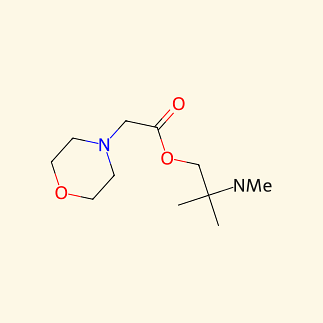 CNC(C)(C)COC(=O)CN1CCOCC1